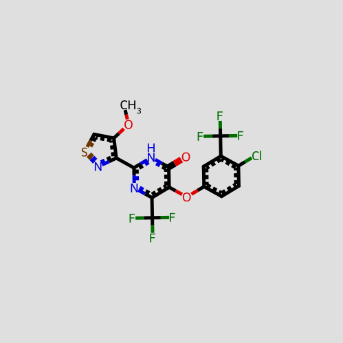 COc1csnc1-c1nc(C(F)(F)F)c(Oc2ccc(Cl)c(C(F)(F)F)c2)c(=O)[nH]1